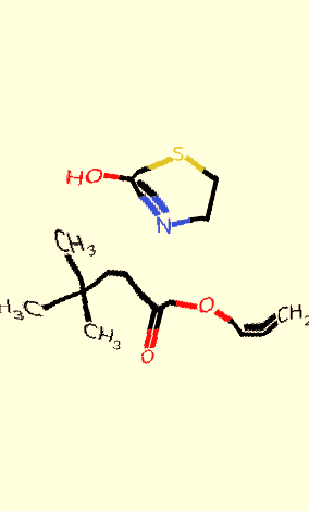 C=COC(=O)CC(C)(C)C.OC1=NCCS1